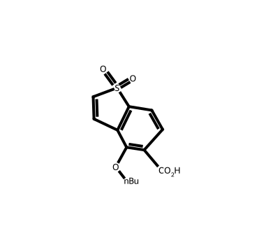 CCCCOc1c(C(=O)O)ccc2c1C=CS2(=O)=O